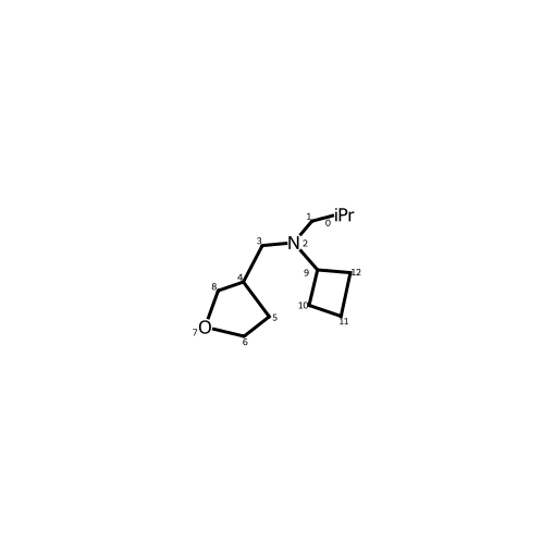 CC(C)CN(CC1CCOC1)C1CCC1